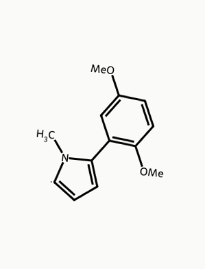 COc1ccc(OC)c(-c2cc[c]n2C)c1